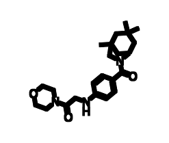 CC1(C)CC2CC(C)(CN2C(=O)c2ccc(NCC(=O)N3CCOCC3)cc2)C1